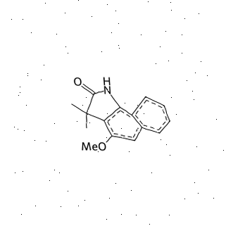 COc1cc2ccccc2c2c1C(C)(C)C(=O)N2